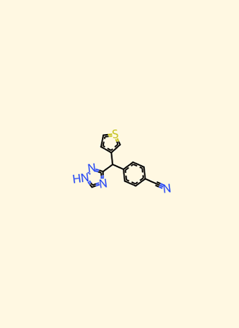 N#Cc1ccc(C(c2ccsc2)c2nc[nH]n2)cc1